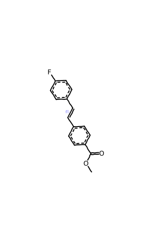 COC(=O)c1ccc(/C=C/c2ccc(F)cc2)cc1